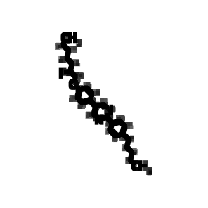 CCCCCc1ccc(-c2ncc(-c3ccc(OCC(F)CCCCC)cc3)cn2)cc1